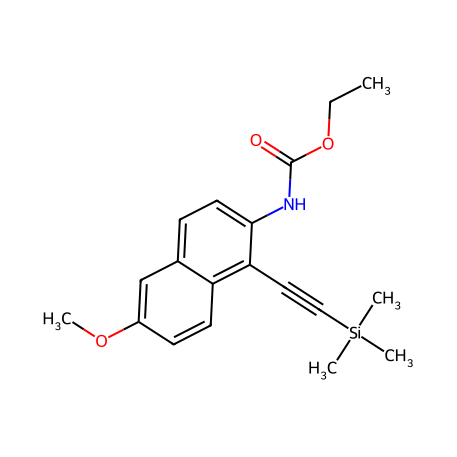 CCOC(=O)Nc1ccc2cc(OC)ccc2c1C#C[Si](C)(C)C